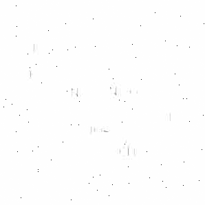 CC[C@@](O)(C=O)c1cc2n(c(=O)c1COC)Cc1c-2nc2cc(F)c(C)c3c2c1CCC3